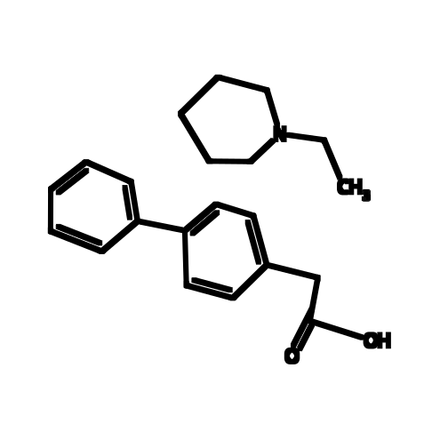 CCN1CCCCC1.O=C(O)Cc1ccc(-c2ccccc2)cc1